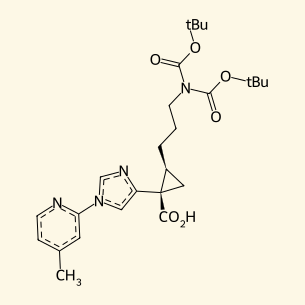 Cc1ccnc(-n2cnc([C@@]3(C(=O)O)C[C@@H]3CCCN(C(=O)OC(C)(C)C)C(=O)OC(C)(C)C)c2)c1